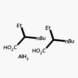 CCCCC(CC)C(=O)O.CCCCC(CC)C(=O)O.[AlH3]